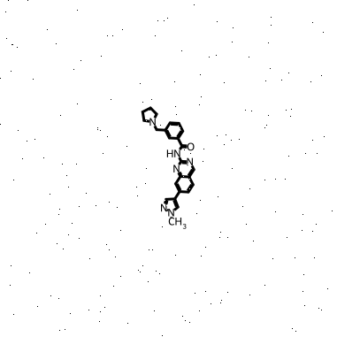 Cn1cc(-c2ccc3cnc(NC(=O)c4cccc(CN5CCCC5)c4)nc3c2)cn1